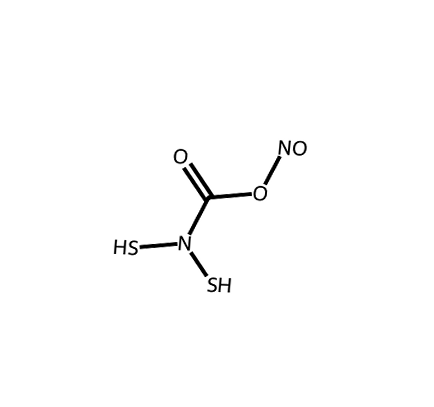 O=NOC(=O)N(S)S